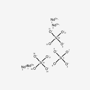 [Nd+3].[Nd+3].[Nd+3].[Nd+3].[O-][Si]([O-])([O-])[O-].[O-][Si]([O-])([O-])[O-].[O-][Si]([O-])([O-])[O-]